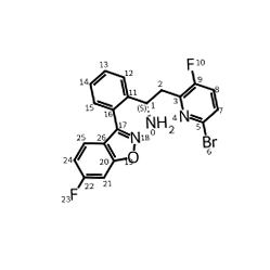 N[C@@H](Cc1nc(Br)ccc1F)c1ccccc1-c1noc2cc(F)ccc12